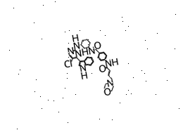 O=C(/C=C/CN1CCOCC1)Nc1ccc(C(=O)N[C@H]2CCC[C@@H](Nc3ncc(Cl)c(-c4c[nH]c5ccccc45)n3)C2)cc1